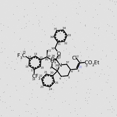 CCOC(=O)/C(Cl)=C/C1CCC(CO[C@H](C)c2cc(C(F)(F)F)cc(C(F)(F)F)c2)(c2ccccc2)N(C(=O)OCc2ccccc2)C1